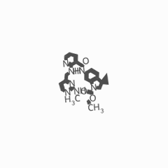 CCOC(=O)N1CC2(CC2)c2ccc(NC(=O)c3cccnc3NCc3ccnc(NC)n3)cc21